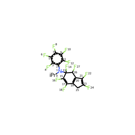 CC(C)N(c1c(F)c(F)c(F)c(F)c1F)C1(F)C(F)=C(F)C2=C(C(F)=C(F)[CH]2)C1F